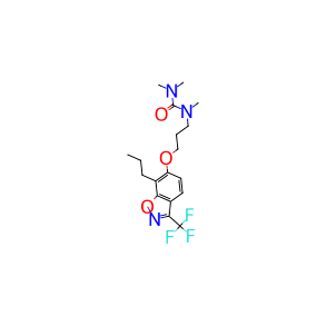 CCCc1c(OCCCN(C)C(=O)N(C)C)ccc2c(C(F)(F)F)noc12